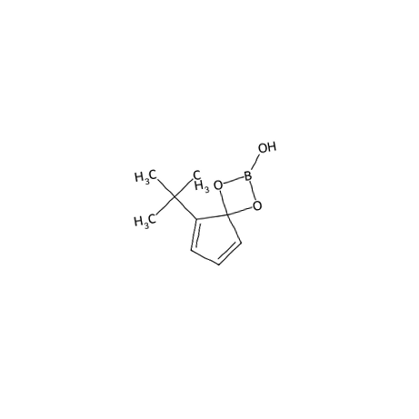 CC(C)(C)C1=CC=CC12OB(O)O2